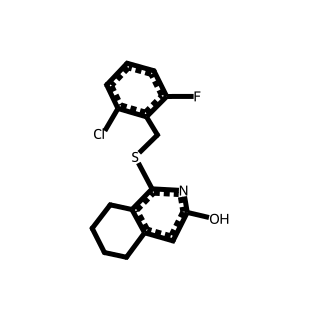 Oc1cc2c(c(SCc3c(F)cccc3Cl)n1)CCCC2